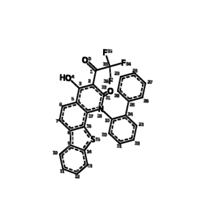 O=C(c1c(O)c2ccc3c4ccccc4sc3c2n(-c2ccccc2-c2ccccc2)c1=O)C(F)(F)F